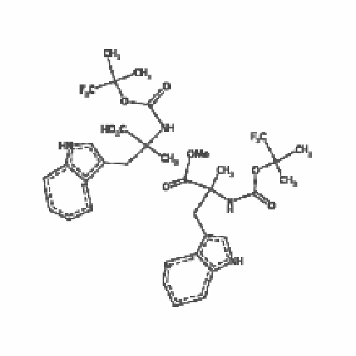 CC(Cc1c[nH]c2ccccc12)(NC(=O)OC(C)(C)C(F)(F)F)C(=O)O.COC(=O)C(C)(Cc1c[nH]c2ccccc12)NC(=O)OC(C)(C)C(F)(F)F